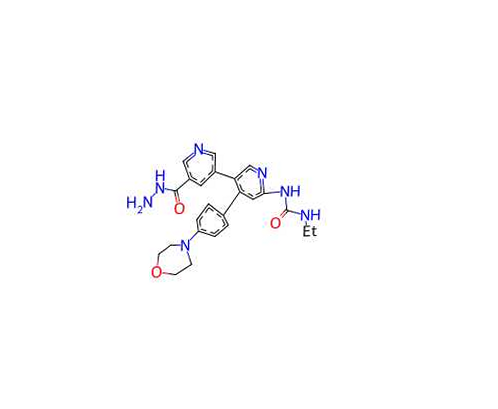 CCNC(=O)Nc1cc(-c2ccc(N3CCOCC3)cc2)c(-c2cncc(C(=O)NN)c2)cn1